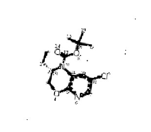 CC[C@H]1COc2ncc(Cl)cc2N1C(=O)OC(C)(C)C